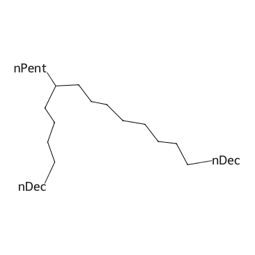 [CH2]CCCCC(CCCCCCCCCCCCCC)CCCCCCCCCCCCCCCCCC